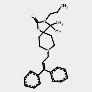 CCCN1C(=O)OC2(CCN(CC=C(c3ccccc3)c3ccccc3)CC2)C1(C)O